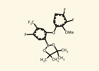 COc1c(Oc2cc(C(F)(F)F)c(F)cc2B2OC(C)(C)C(C)(C)O2)ccc(F)c1F